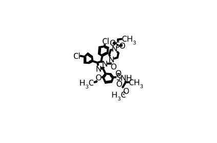 CCOc1ccc(S(=O)(=O)NC(C)COC)cc1C1=NC(c2ccc(Cl)cc2)C(c2ccc(Cl)cc2)N1C(=O)N1CCN(S(=O)(=O)CC)CC1